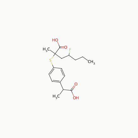 CCCC(F)CC(C)(Sc1ccc(C(C)C(=O)O)cc1)C(=O)O